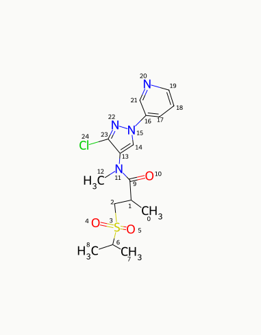 CC(CS(=O)(=O)C(C)C)C(=O)N(C)c1cn(-c2cccnc2)nc1Cl